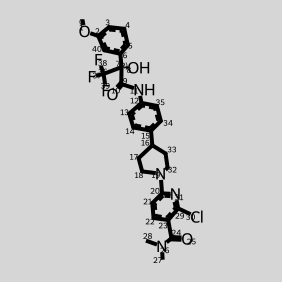 COc1cccc([C@@](O)(C(=O)Nc2ccc(C3CCN(c4ccc(C(=O)N(C)C)c(Cl)n4)CC3)cc2)C(F)(F)F)c1